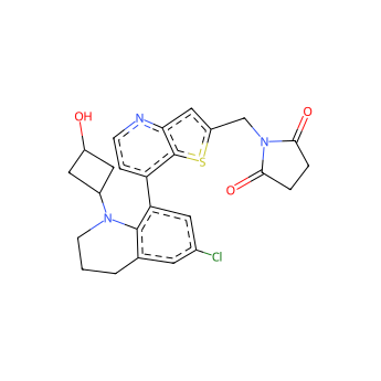 O=C1CCC(=O)N1Cc1cc2nccc(-c3cc(Cl)cc4c3N(C3CC(O)C3)CCC4)c2s1